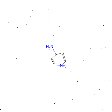 NC1C=CNC=C1